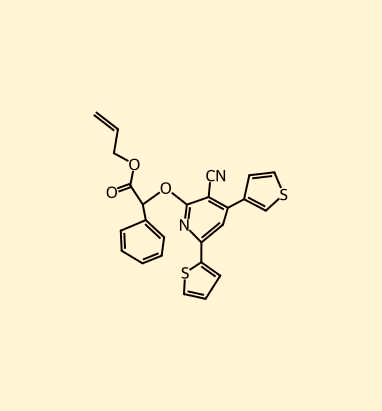 C=CCOC(=O)C(Oc1nc(-c2cccs2)cc(-c2ccsc2)c1C#N)c1ccccc1